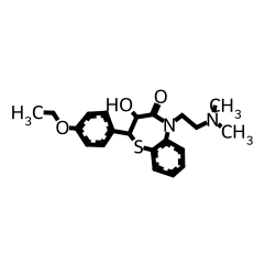 CCOc1ccc(C2Sc3ccccc3N(CCN(C)C)C(=O)C2O)cc1